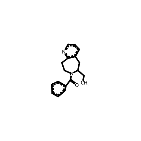 CCC1Cc2cccnc2CCN1C(=O)c1ccccc1